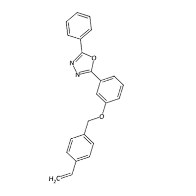 C=Cc1ccc(COc2cccc(-c3nnc(-c4ccccc4)o3)c2)cc1